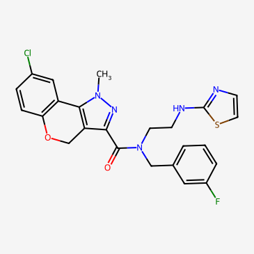 Cn1nc(C(=O)N(CCNc2nccs2)Cc2cccc(F)c2)c2c1-c1cc(Cl)ccc1OC2